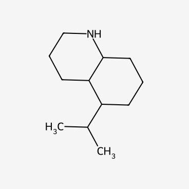 CC(C)C1CCCC2NCCCC21